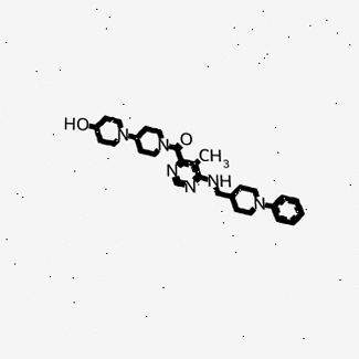 Cc1c(NCC2CCN(c3ccccc3)CC2)ncnc1C(=O)N1CCC(N2CCC(O)CC2)CC1